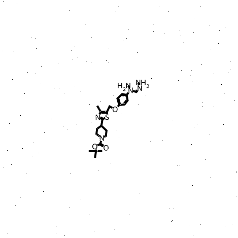 Cc1nc(C2CCN(C(=O)OC(C)(C)C)CC2)sc1COc1ccc(N(N)/C=N\N)cc1